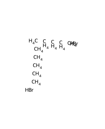 Br.Br.C.C.C.C.C.C.C.C.C.C